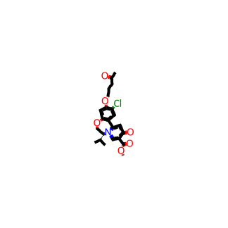 COC(=O)c1cn2c(cc1=O)-c1cc(Cl)c(OCCCC(C)=O)cc1OC[C@H]2C(C)C